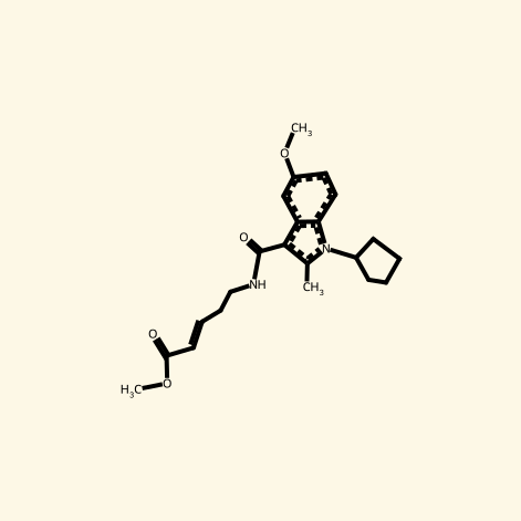 COC(=O)/C=C/CCNC(=O)c1c(C)n(C2CCCC2)c2ccc(OC)cc12